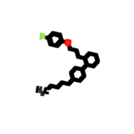 CCCCCC1CCC(C2CCCCC2CCCOc2ccc(F)cc2)CC1